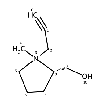 C#CC[N+]1(C)CCC[C@H]1CO